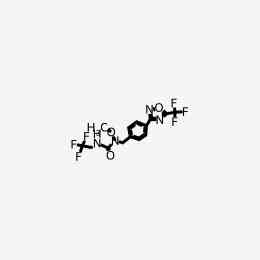 CON(Cc1ccc(-c2noc(C(F)(F)F)n2)cc1)C(=O)NCC(F)(F)F